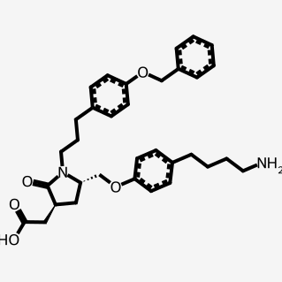 NCCCCc1ccc(OC[C@@H]2C[C@@H](CC(=O)O)C(=O)N2CCCc2ccc(OCc3ccccc3)cc2)cc1